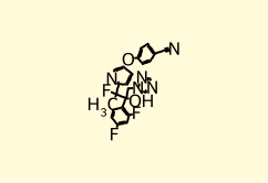 CC(F)(c1ccc(Oc2ccc(C#N)cc2)cn1)C(O)(Cn1cncn1)c1ccc(F)cc1F